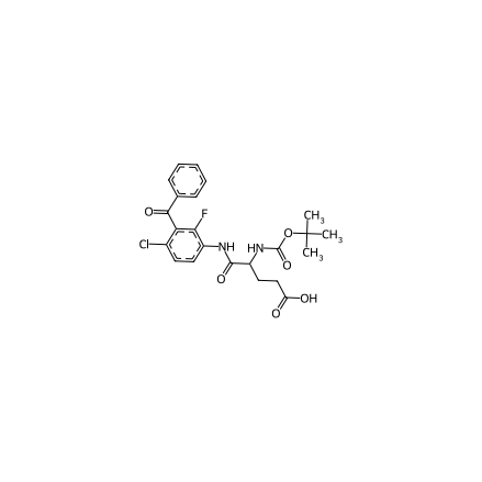 CC(C)(C)OC(=O)NC(CCC(=O)O)C(=O)Nc1ccc(Cl)c(C(=O)c2ccccc2)c1F